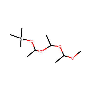 COC(C)OC(C)OC(C)O[Si](C)(C)C